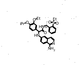 CCOc1cc(C(Nc2ccc3c(N)nccc3c2)C(=O)N[C@H](C)c2ccccc2S(=O)(=O)CC)ccc1OC(C)C